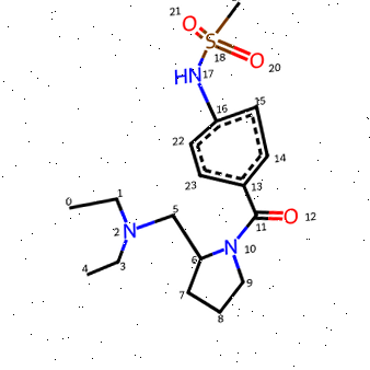 CCN(CC)CC1CCCN1C(=O)c1ccc(NS(C)(=O)=O)cc1